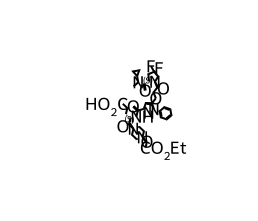 CCOC(=O)ON1CCN(C(=O)[C@H](CCC(=O)O)NC(=O)c2cc(OCC(=O)N3CC(F)(F)C[C@H]3C(=O)N(C)C3CC3)n(-c3ccccc3)n2)CC1